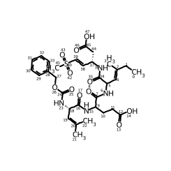 CC/C(C)=C/C(NC(=O)C(CCC(=O)O)NC(=O)[C@H](C=C(C)C)NC(=O)OCc1ccccc1)C(=O)N[C@H](/C=C/S(C)(=O)=O)CC(=O)O